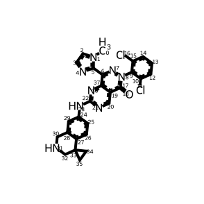 Cn1ccnc1-c1nn(-c2c(Cl)cccc2Cl)c(=O)c2cnc(Nc3ccc4c(c3)CNCC43CC3)nc12